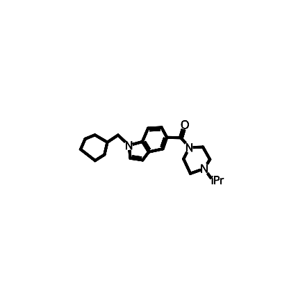 CC(C)N1CCN(C(=O)c2ccc3c(ccn3CC3CCCCC3)c2)CC1